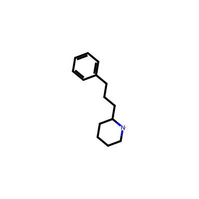 c1ccc(CCCC2CCCC[N]2)cc1